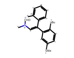 CCCCc1ccc(SC)cc1/C(=C/N(C)C=O)c1ccccc1C